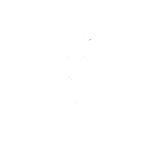 C[C@@H]1CSC(c2cc3cccc([N+](=O)[O-])c3[nH]2)=N1